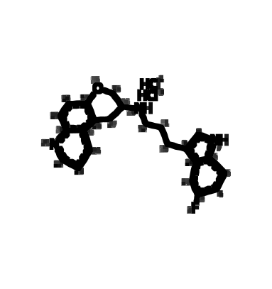 Cl.Cl.Fc1ccc2[nH]cc(CCCNC3COc4ccc5ncccc5c4C3)c2c1